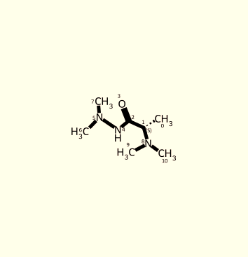 C[C@@H](C(=O)NN(C)C)N(C)C